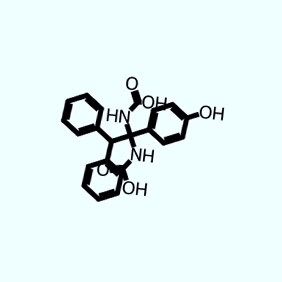 O=C(O)NC(NC(=O)O)(c1ccc(O)cc1)C(c1ccccc1)c1ccccc1